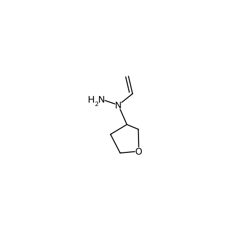 C=CN(N)C1CCOC1